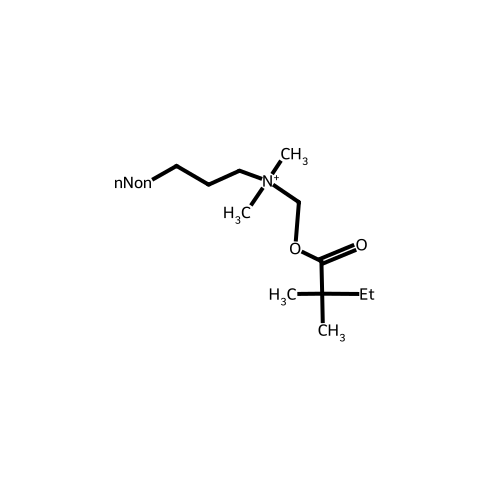 CCCCCCCCCCCC[N+](C)(C)COC(=O)C(C)(C)CC